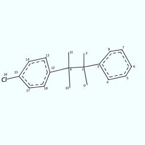 CC(C)(c1ccccc1)C(C)(C)c1ccc(Cl)cc1